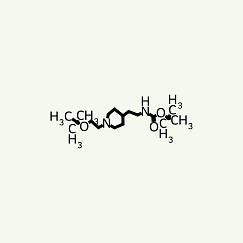 CC(C)(C)OCCN1CCC(CCNC(=O)OC(C)(C)C)CC1